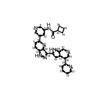 O=C(Nc1cncc(-c2ccc3[nH]nc(-c4cc5c(-c6ccccn6)cncc5[nH]4)c3n2)c1)C1CCC1